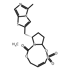 C.Cc1ncc2sc(C[C@@H]3CCC4OS(=O)(=O)C=CCOC(=O)N43)cn12